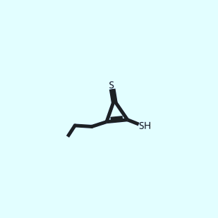 CCCc1c(S)c1=S